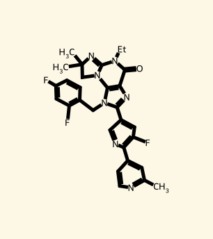 CCN1C(=O)c2nc(-c3cnc(-c4ccnc(C)c4)c(F)c3)n(Cc3ccc(F)cc3F)c2N2CC(C)(C)N=C12